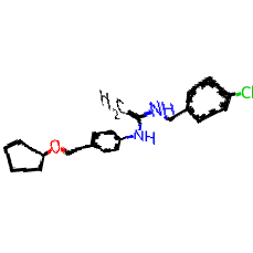 C=C(NCc1ccc(Cl)cc1)Nc1ccc(COC2CCCC2)cc1